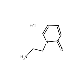 Cl.NCCn1ccccc1=O